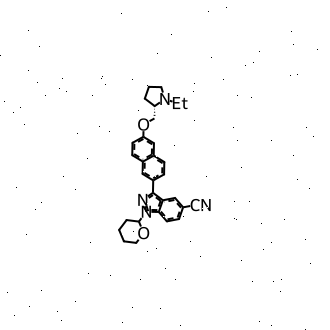 CCN1CCC[C@H]1COc1ccc2cc(-c3nn(C4CCCCO4)c4ccc(C#N)cc34)ccc2c1